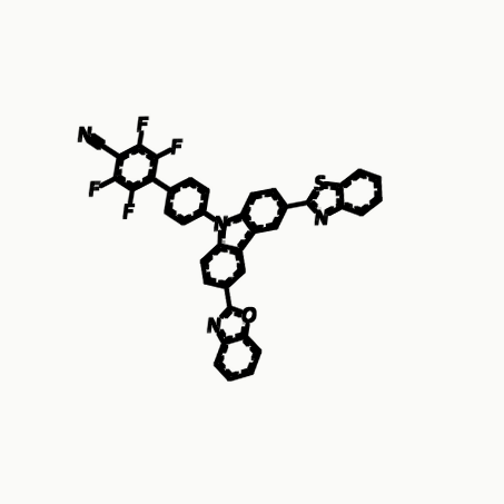 N#Cc1c(F)c(F)c(-c2ccc(-n3c4ccc(-c5nc6ccccc6o5)cc4c4cc(-c5nc6ccccc6s5)ccc43)cc2)c(F)c1F